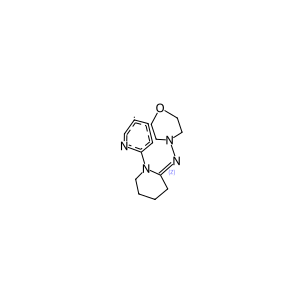 [c]1ccc(N2CCCC/C2=N/N2CCOCC2)nc1